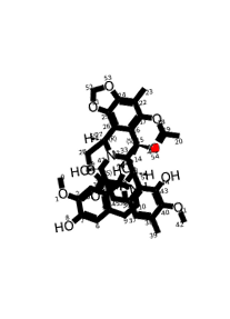 COc1cc2c(cc1O)CCNC21CS[C@H]2c3c(OC(C)=O)c(C)c4c(c3[C@H](COC1=O)N1[C@@H]2[C@H]2c3c(cc(C)c(OC)c3O)CC([C@@H]1O)N2C)OCO4